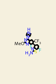 COc1nc(N2C3CNCC2C3)c2cc(C(F)(F)F)c(-c3ccc(F)c4sc(N)nc34)c(F)c2n1